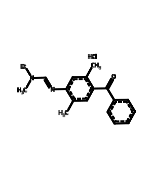 CCN(C)C=Nc1cc(C)c(C(=O)c2ccccc2)cc1C.Cl